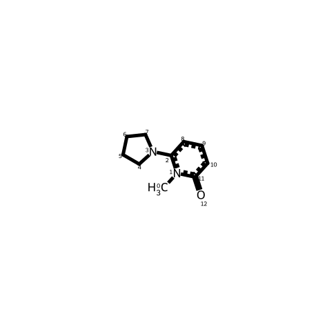 Cn1c(N2CCCC2)cccc1=O